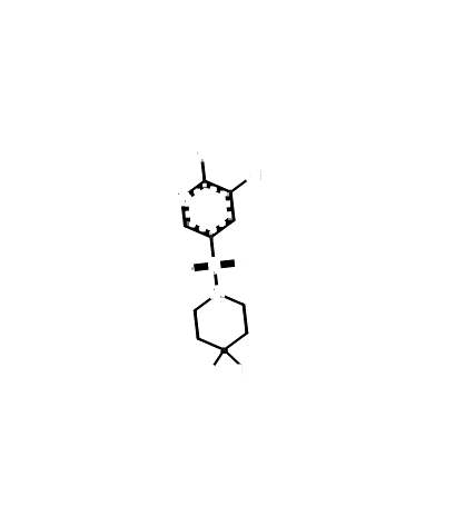 Cc1cc(S(=O)(=O)N2CCC(F)(F)CC2)cnc1Cl